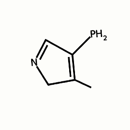 CC1=C(P)C=NC1